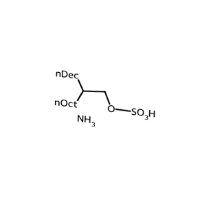 CCCCCCCCCCC(CCCCCCCC)COS(=O)(=O)O.N